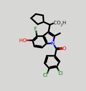 Cc1c(C(C(=O)O)C2CCCC2)c2c(F)c(O)ccc2n1C(=O)c1ccc(Cl)c(Cl)c1